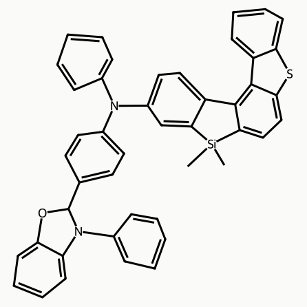 C[Si]1(C)c2cc(N(c3ccccc3)c3ccc(C4Oc5ccccc5N4c4ccccc4)cc3)ccc2-c2c1ccc1sc3ccccc3c21